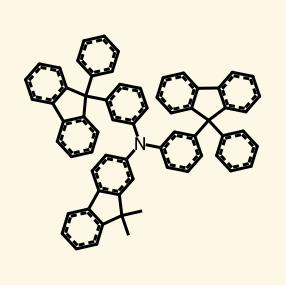 CC1(C)c2ccccc2-c2ccc(N(c3cccc(C4(c5ccccc5)c5ccccc5-c5ccccc54)c3)c3cccc(C4(c5ccccc5)c5ccccc5-c5ccccc54)c3)cc21